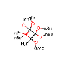 CCCCOC(C)(OOC)C(OCCCC)(OCCCC)[Si](OCCC)(OCCC)OCCC